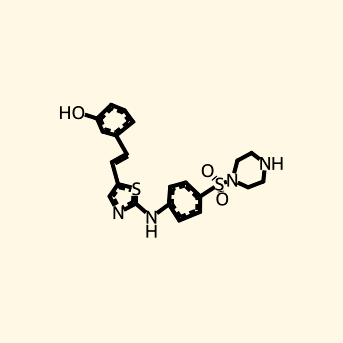 O=S(=O)(c1ccc(Nc2ncc(C=Cc3cccc(O)c3)s2)cc1)N1CCNCC1